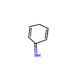 N=C1C=CCC=C1